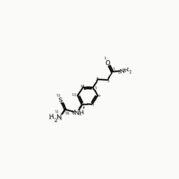 NC(=O)CCc1ccc(NC(N)=S)cc1